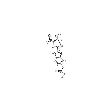 COC(=O)Cc1ccc2oc(-c3ccc(OC)c([N+](=O)[O-])c3)nc2c1